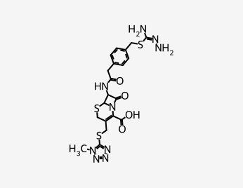 Cn1nnnc1SCC1=C(C(=O)O)N2C(=O)C(NC(=O)Cc3ccc(CS/C(N)=N\N)cc3)C2SC1